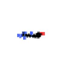 N=C(N)NCCCCNC/C=C/c1ccc(O)cc1